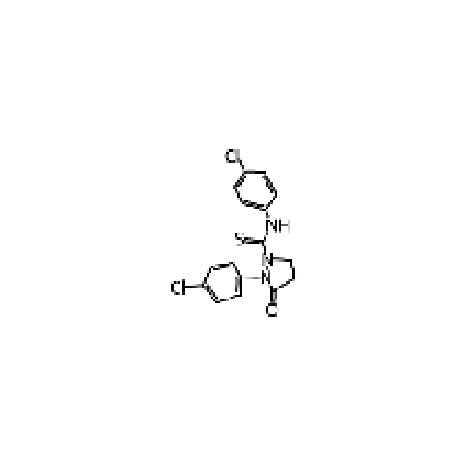 O=C1CCN(C(=S)Nc2ccc(Cl)cc2)N1c1ccc(Cl)cc1